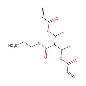 C=CC(=O)OC(C)C(C(=O)OCCS(=O)(=O)O)C(C)OC(=O)C=C